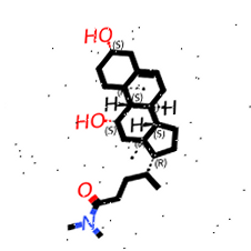 CC(CCC(=O)N(C)C)[C@H]1CC[C@H]2[C@@H]3CC=C4C[C@@H](O)CC[C@]4(C)[C@H]3[C@@H](O)C[C@]12C